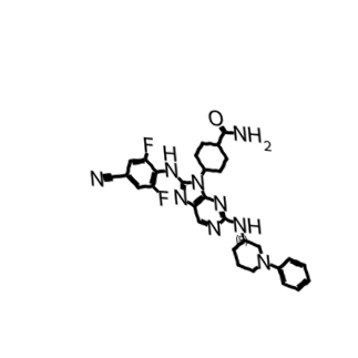 N#Cc1cc(F)c(Nc2nc3cnc(N[C@@H]4CCCN(c5ccccc5)C4)nc3n2C2CCC(C(N)=O)CC2)c(F)c1